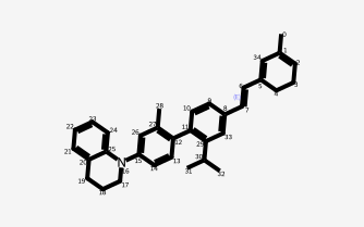 CC1=CCCC(/C=C/c2ccc(-c3ccc(N4CCCc5ccccc54)cc3C)c(C(C)C)c2)=C1